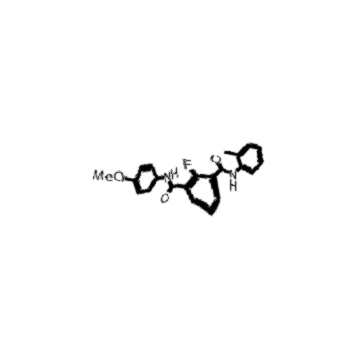 COc1ccc(NC(=O)c2cccc(C(=O)Nc3ccccc3C)c2F)cc1